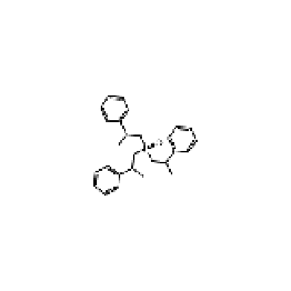 CC(CP(=O)(CC(C)c1ccccc1)CC(C)c1ccccc1)c1ccccc1